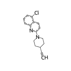 C#CC1CCN(c2ccc3c(Cl)cccc3n2)CC1